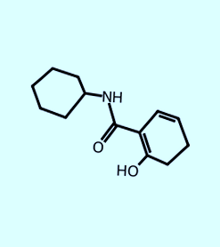 O=C(NC1CCCCC1)C1=C(O)CCC=C1